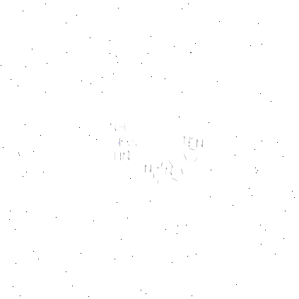 Cc1cc2c(cc1-c1cccn3c(C(=O)N4CCC(NC(=O)/C=C/CNC5CCCCC5)CC4)ccc13)ncn2C